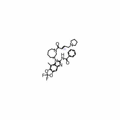 Cc1c2c(cc3nc(NC(=O)c4ccccc4)n([C@@H]4CCCCN(C(=O)/C=C/CN5CCCC5)C4)c13)OC(F)(F)O2